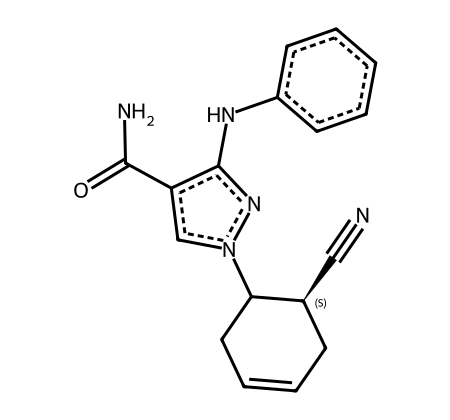 N#C[C@H]1CC=CCC1n1cc(C(N)=O)c(Nc2ccccc2)n1